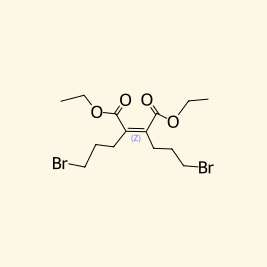 CCOC(=O)/C(CCCBr)=C(/CCCBr)C(=O)OCC